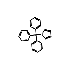 c1ccc([B-](c2ccccc2)(c2ccccc2)n2cccc2)cc1